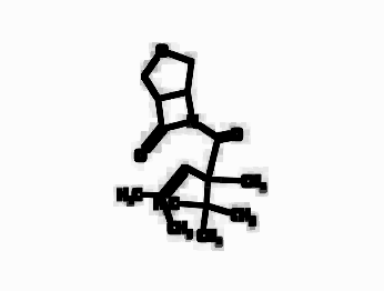 CC(C)=CC(C)(C(=O)N1C(=O)C2COCC21)C(C)(C)C